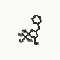 CC(C)(C)[Si](C)(C)OC(CCO)Cc1ccccc1